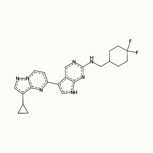 FC1(F)CCC(CNc2ncc3c(-c4ccn5ncc(C6CC6)c5n4)c[nH]c3n2)CC1